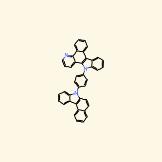 c1ccc2c(c1)ccc1c2c2ccccc2n1-c1ccc(-n2c3ccccc3c3c4ccccc4c4ncccc4c32)cc1